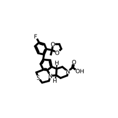 CC1(c2cc(F)ccc2-c2cc3c4c(c2)[C@@H]2CN(C(=O)O)CC[C@@H]2N4CCSC3)OCCO1